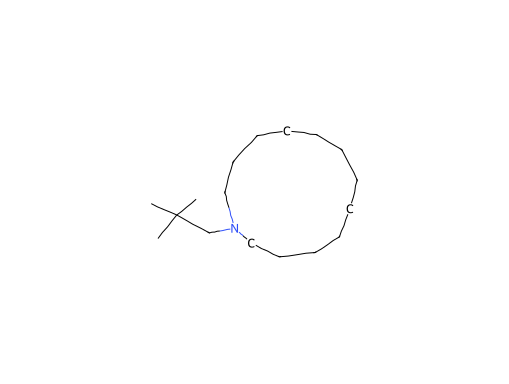 CC(C)(C)CN1CCCCCCCCCCCC1